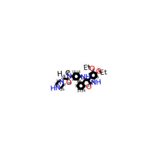 CCOc1cc2c(cc1OCC)C(=C(Nc1ccc(N(C)C(=O)CN3CCNCC3)cc1)c1ccccc1)C(=O)N2